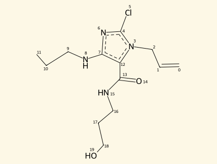 C=CCn1c(Cl)nc(NCCC)c1C(=O)NCCCO